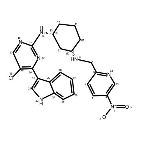 O=[N+]([O-])c1ccc(CN[C@H]2CCC[C@@H](Nc3ncc(Cl)c(-c4c[nH]c5ccccc45)n3)C2)nc1